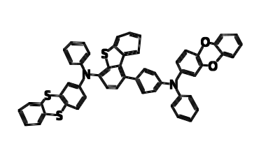 c1ccc(N(c2ccc(-c3ccc(N(c4ccccc4)c4ccc5c(c4)Sc4ccccc4S5)c4sc5ccccc5c34)cc2)c2ccc3c(c2)Oc2ccccc2O3)cc1